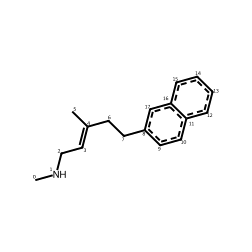 CNCC=C(C)CCc1ccc2ccccc2c1